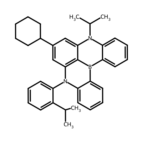 CC(C)c1ccccc1N1c2ccccc2B2c3ccccc3N(C(C)C)c3cc(C4CCCCC4)cc1c32